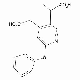 CC(C(=O)O)c1cnc(Oc2ccccc2)cc1CC(=O)O